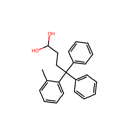 Cc1ccccc1C(CCC(O)O)(c1ccccc1)c1ccccc1